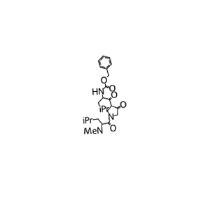 CNC(CC(C)C)C(=O)N1CC(=O)C(C(=O)C(CC(C)C)NC(=O)OCc2ccccc2)C1